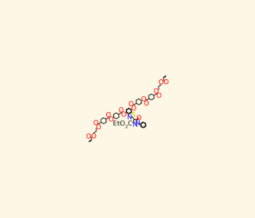 C=CC(=O)OCCCOC(=O)C1CCC(C(=O)OC2CCC(C(=O)Oc3ccc(OC(=O)C4CCC(OC(=O)C5CCC(C(=O)OCCCOC(=O)C=C)CC5)CC4)c4sc(C5C(=O)N(c6ccccc6)N=C5C(=O)OCC)nc34)CC2)CC1